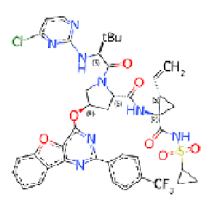 C=C[C@@H]1C[C@]1(NC(=O)[C@@H]1C[C@@H](Oc2nc(-c3ccc(C(F)(F)F)cc3)nc3c2oc2ccccc23)CN1C(=O)[C@@H](Nc1nccc(Cl)n1)C(C)(C)C)C(=O)NS(=O)(=O)C1CC1